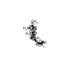 CCOc1nc(N)nc2c1ncn2[C@@H]1OC[C@@H](O[P@@](=O)(OC)OCCSC(=O)C(C)(C)CO)[C@@]1(C)Cl